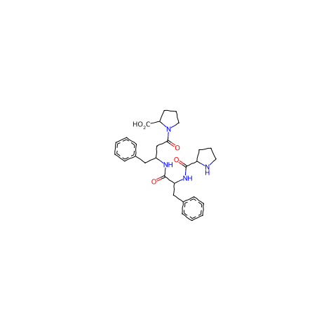 O=C(NC(Cc1ccccc1)C(=O)NC(CC(=O)N1CCCC1C(=O)O)Cc1ccccc1)C1CCCN1